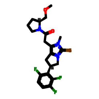 COC[C@@H]1CCCN1C(=O)Cc1c2n(c(=S)n1C)C[C@@H](c1c(F)ccc(F)c1F)C2